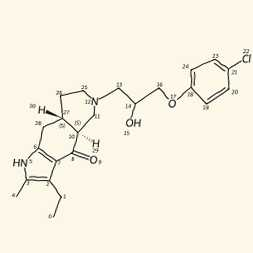 CCc1c(C)[nH]c2c1C(=O)[C@@H]1CN(CC(O)COc3ccc(Cl)cc3)CC[C@H]1C2